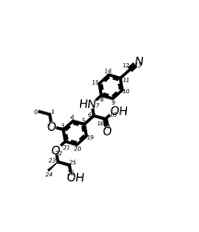 CCOc1cc(C(Nc2ccc(C#N)cc2)C(=O)O)ccc1O[C@H](C)CO